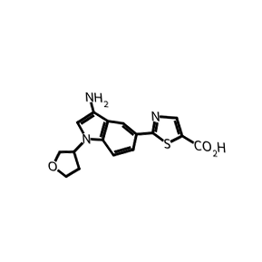 Nc1cn(C2CCOC2)c2ccc(-c3ncc(C(=O)O)s3)cc12